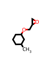 CC1CCCC(OCC2CO2)C1